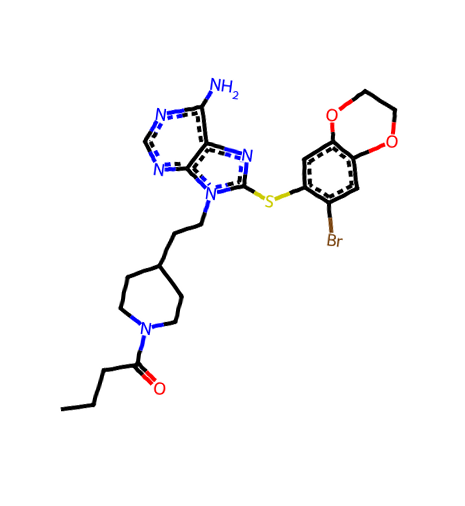 CCCC(=O)N1CCC(CCn2c(Sc3cc4c(cc3Br)OCCO4)nc3c(N)ncnc32)CC1